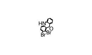 O=c1c2ccccc2[nH]c2ccc(Br)c(Br)c12